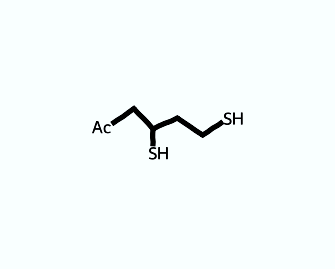 CC(=O)CC(S)CCS